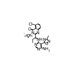 CC[C@H](Nc1ncnc(N)c1-c1nc(C)no1)c1nc2cccc(Cl)c2c(=O)n1[C@@H]1C[C@@H]1C